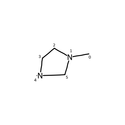 CN1CC[N]C1